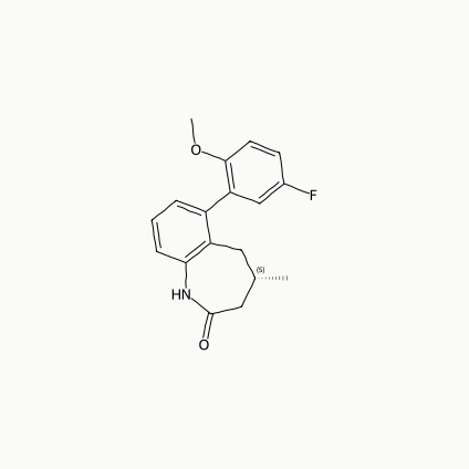 COc1ccc(F)cc1-c1cccc2c1C[C@H](C)CC(=O)N2